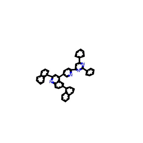 c1ccc(-c2cc(-c3ccc(-c4cc(-c5cccc6ccccc56)nc5ccc(-c6cccc7ccccc67)cc45)cn3)nc(-c3ccccc3)n2)cc1